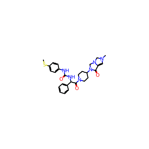 CSc1ccc(NC(=O)NC(C(=O)N2CCC(N3CN4CN(C)C=C4C3=O)CC2)c2ccccc2)cc1